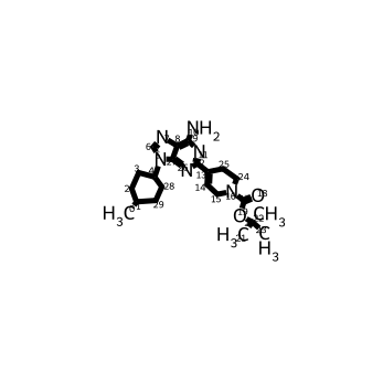 CC1CCC(n2cnc3c(N)nc(C4=CCN(C(=O)OC(C)(C)C)CC4)nc32)CC1